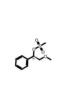 COC[C@H](OS(C)(=O)=O)c1ccccc1